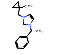 COC1(CN2C=CN([C@H](C)c3ccccc3)C2)CC1